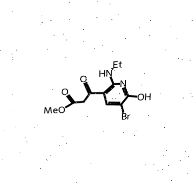 CCNc1nc(O)c(Br)cc1C(=O)CC(=O)OC